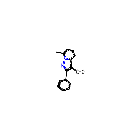 Cc1cccc2c(C=O)c(-c3ccccc3)nn12